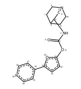 O=C(NC1CN2CCC1CC2)Oc1ccc(-c2ccncc2)o1